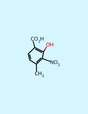 Cc1ccc(C(=O)O)c(O)c1[N+](=O)[O-]